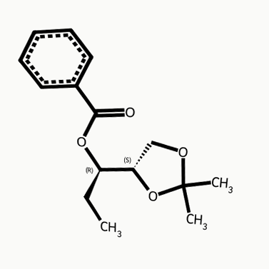 CC[C@@H](OC(=O)c1ccccc1)[C@@H]1COC(C)(C)O1